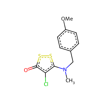 COc1ccc(CN(C)c2ssc(=O)c2Cl)cc1